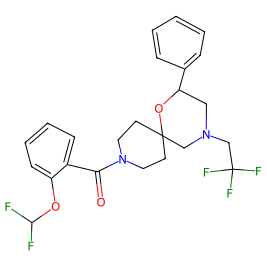 O=C(c1ccccc1OC(F)F)N1CCC2(CC1)CN(CC(F)(F)F)CC(c1ccccc1)O2